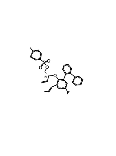 C=C[C@H](COS(=O)(=O)c1ccc(C)cc1)Oc1c(C=CC)cc(F)cc1-c1ccccc1-c1ccccc1